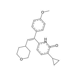 COc1ccc(C(=CC2CCOCC2)c2ccc(C3CC3)c(=O)[nH]2)cc1